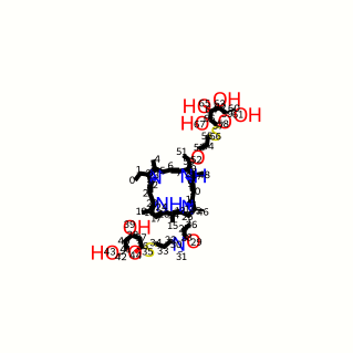 CCC1=C(C)c2cc3[nH]c(cc4nc(c(C)c5cc(C)c(cc1n2)[nH]5)[C@@H](CCC(=O)N(C)CCCS[C@H]1C[C@@H](O)C[C@@H](CO)O1)[C@@H]4C)c(C)c3C(C)OCCCSC1O[C@H](CO)[C@@H](O)[C@H](O)C1O